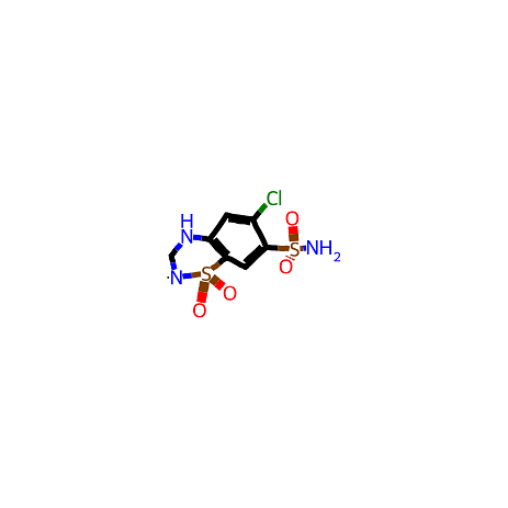 NS(=O)(=O)c1cc2c(cc1Cl)NC[N]S2(=O)=O